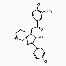 Cc1cc(C(=O)CN2C(=O)C(c3ccc(Cl)cc3)=NC23CCCNC3)ccc1Cl